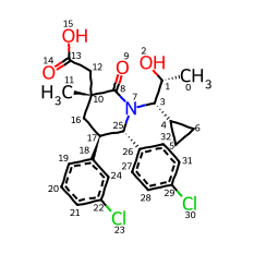 C[C@@H](O)[C@H](C1CC1)N1C(=O)[C@@](C)(CC(=O)O)C[C@H](c2cccc(Cl)c2)[C@H]1c1ccc(Cl)cc1